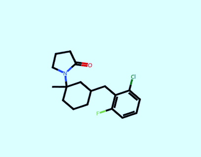 CC1(N2CCCC2=O)CCCC(Cc2c(F)cccc2Cl)C1